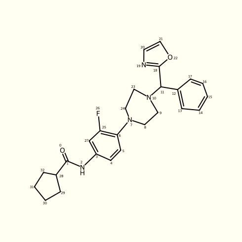 O=C(Nc1ccc(N2CCN(C(c3ccccc3)c3ncco3)CC2)c(F)c1)C1CCCC1